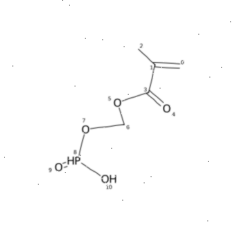 C=C(C)C(=O)OCO[PH](=O)O